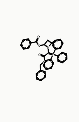 O=C(OCc1ccccc1)C(N1C(=O)CC1SC(=O)c1ccccc1)=P(c1ccccc1)(c1ccccc1)c1ccccc1